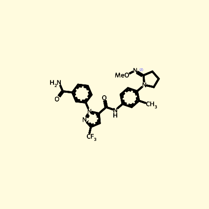 CO/N=C1/CCCN1c1ccc(NC(=O)c2cc(C(F)(F)F)nn2-c2cccc(C(N)=O)c2)cc1C